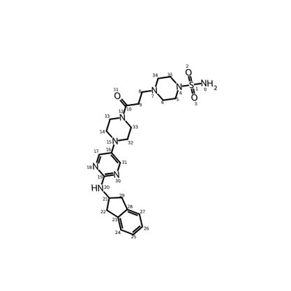 NS(=O)(=O)N1CCN(CCC(=O)N2CCN(c3cnc(NC4Cc5ccccc5C4)nc3)CC2)CC1